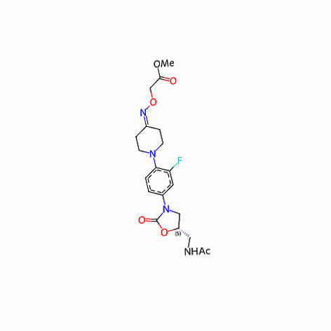 COC(=O)CON=C1CCN(c2ccc(N3C[C@H](CNC(C)=O)OC3=O)cc2F)CC1